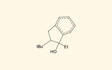 CCC1(O)c2ccccc2CC1C(C)(C)C